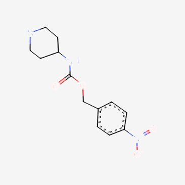 O=C(NC1CC[N]CC1)OCc1ccc([N+](=O)[O-])cc1